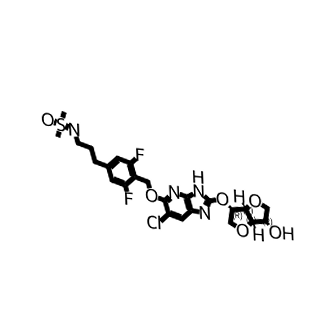 CS(C)(=O)=NCCCc1cc(F)c(COc2nc3[nH]c(O[C@@H]4CO[C@H]5[C@@H]4OC[C@H]5O)nc3cc2Cl)c(F)c1